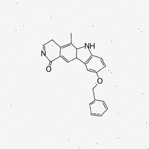 CC1=C2CC=NC(=O)C2=CC2c3cc(OCc4ccccc4)ccc3NC12